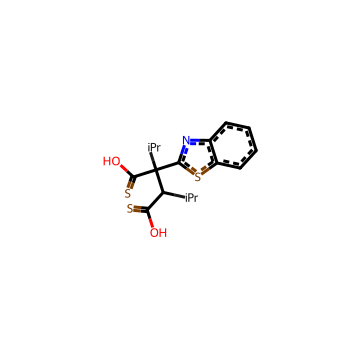 CC(C)C(C(O)=S)C(C(O)=S)(c1nc2ccccc2s1)C(C)C